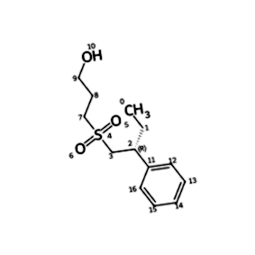 CC[C@@H](CS(=O)(=O)CCCO)c1ccccc1